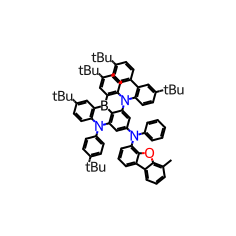 Cc1cccc2c1oc1c(N(c3ccccc3)c3cc4c5c(c3)N(c3ccc(C(C)(C)C)cc3-c3ccc(C(C)(C)C)cc3)c3ccc(C(C)(C)C)cc3B5c3cc(C(C)(C)C)ccc3N4c3ccc(C(C)(C)C)cc3)cccc12